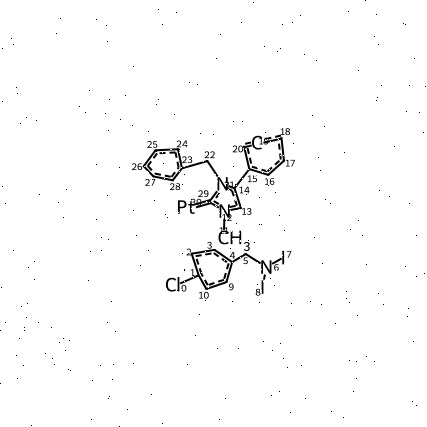 Clc1ccc(CN(I)I)cc1.Cn1cc(-c2ccccc2)n(Cc2ccccc2)[c]1=[Pt]